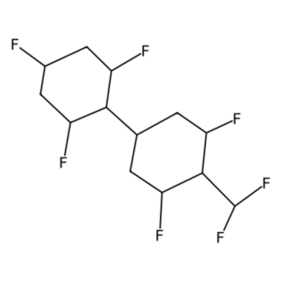 FC1CC(F)C(C2CC(F)C(C(F)F)C(F)C2)C(F)C1